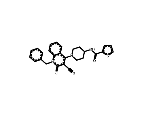 N#Cc1c(N2CCC(NC(=O)c3cccs3)CC2)c2ccccc2n(Cc2ccccc2)c1=O